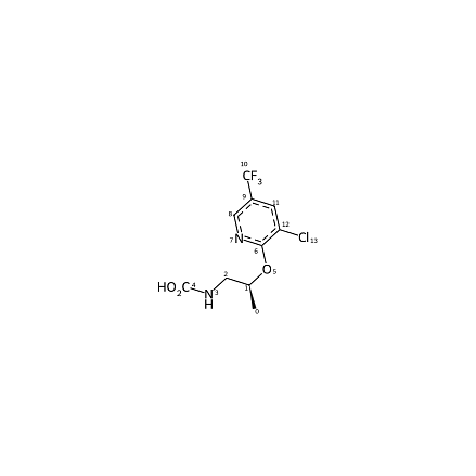 C[C@@H](CNC(=O)O)Oc1ncc(C(F)(F)F)cc1Cl